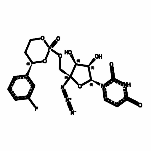 [N-]=[N+]=N[C@]1(COP2(=O)OCC[C@@H](c3cccc(F)c3)O2)O[C@@H](n2ccc(=O)[nH]c2=O)[C@H](O)[C@@H]1O